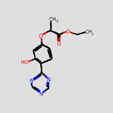 CCOC(=O)C(C)Oc1ccc(-c2ncncn2)c(O)c1